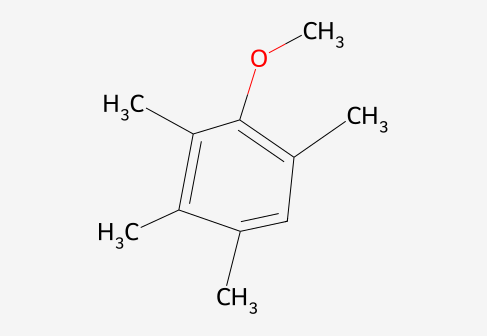 COc1c(C)cc(C)c(C)c1C